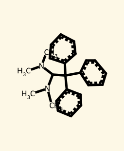 CN(C)C(N(C)C)C(c1ccccc1)(c1ccccc1)c1ccccc1